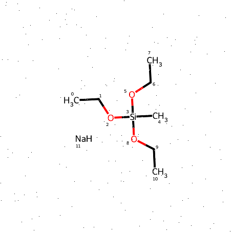 CCO[Si](C)(OCC)OCC.[NaH]